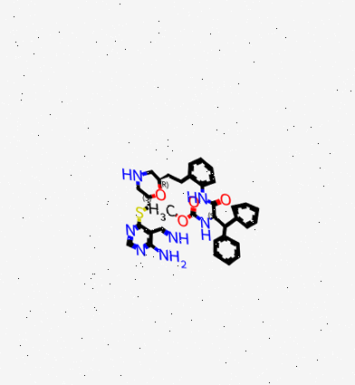 COC(=O)N[C@H](C(=O)Nc1ccccc1CC[C@@H]1CNC[C@@H](CSc2ncnc(N)c2C=N)O1)C(c1ccccc1)c1ccccc1